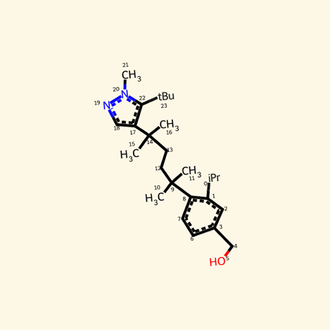 CC(C)c1cc(CO)ccc1C(C)(C)CCC(C)(C)c1cnn(C)c1C(C)(C)C